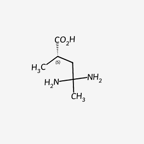 C[C@@H](CC(C)(N)N)C(=O)O